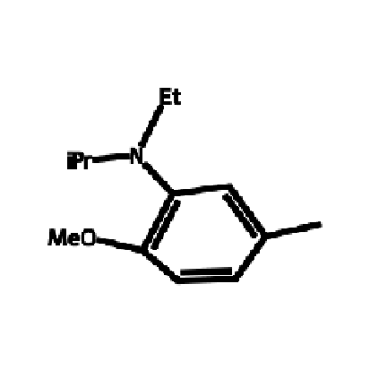 CCN(c1cc(C)ccc1OC)C(C)C